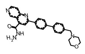 NNC(=O)c1cc(-c2ccc(-c3ccc(CN4CCOCC4)cc3)cc2)nc2ccncc12